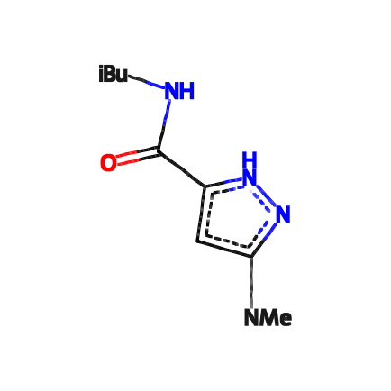 CCC(C)NC(=O)c1cc(NC)n[nH]1